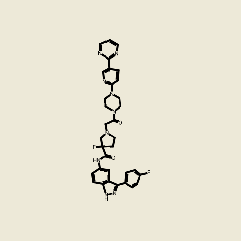 O=C(CN1CCC(F)(C(=O)Nc2ccc3[nH]nc(-c4ccc(F)cc4)c3c2)C1)N1CCN(c2ccc(-c3ncccn3)cn2)CC1